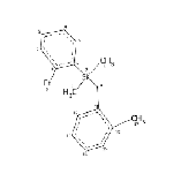 CCc1ccccc1[Si](C)(C)Cc1ccc[c]c1C